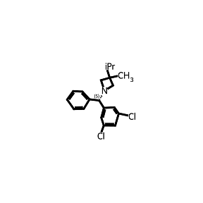 CC(C)C1(C)CN([C@@H](c2ccccc2)c2cc(Cl)cc(Cl)c2)C1